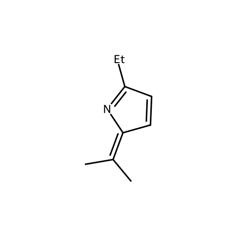 CCC1=NC(=C(C)C)C=C1